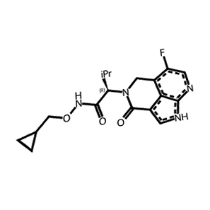 CC(C)[C@H](C(=O)NOCC1CC1)N1Cc2c(F)cnc3[nH]cc(c23)C1=O